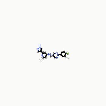 N#Cc1cc(-c2ncc(CNc3cc(-c4cn[nH]c4)nc(C(F)(F)F)c3)cn2)ccc1F